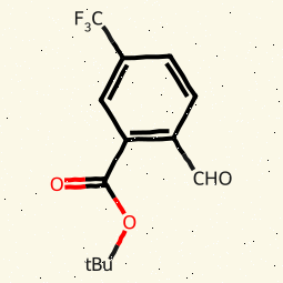 CC(C)(C)OC(=O)c1cc(C(F)(F)F)ccc1C=O